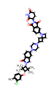 CC1(C)[C@H](Oc2ccc(C#N)c(Cl)c2)C(C)(C)[C@H]1N1Cc2cc(N3CCN(C4CC5(CCN5c5ccc6c(c5)C(=O)N(C5CCC(=O)NC5=O)C6=O)C4)CC3)ccc2C1=O